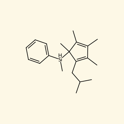 C[C](C)CC1=C(C)C(C)=C(C)C1(C)[SiH](C)c1ccccc1